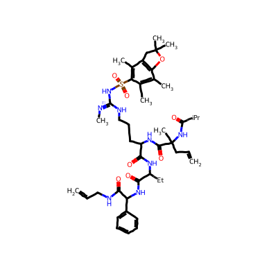 C=CCNC(=O)C(NC(=O)C(CC)NC(=O)C(CCCN/C(=N\C)NS(=O)(=O)c1c(C)c(C)c2c(c1C)CC(C)(C)O2)NC(=O)C(C)(CC=C)NC(=O)C(C)C)c1ccccc1